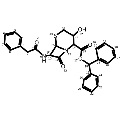 O=C(Cc1ccccc1)N[C@@H]1C(=O)N2C(C(=O)OC(c3ccccc3)c3ccccc3)C(O)CSC12